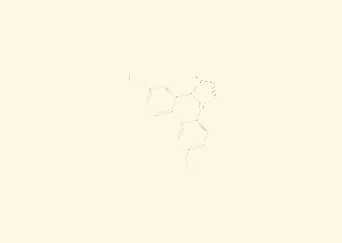 CC(C)(C)c1ccc2c(c1)c1ccc(O)cc1c1nccn21